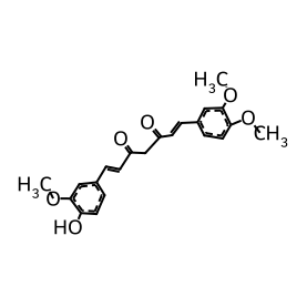 COc1cc(/C=C/C(=O)CC(=O)/C=C/c2ccc(OC)c(OC)c2)ccc1O